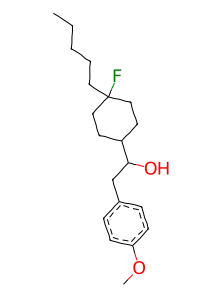 CCCCCC1(F)CCC(C(O)Cc2ccc(OC)cc2)CC1